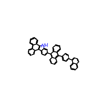 c1ccc2c(-c3ccc(-c4c5ccccc5c(-c5ccc6c(c5)[nH]c5c7ccccc7c7ccccc7c65)c5ccccc45)cc3)cccc2c1